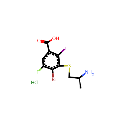 C[C@H](N)CSc1c(Br)c(F)cc(C(=O)O)c1I.Cl